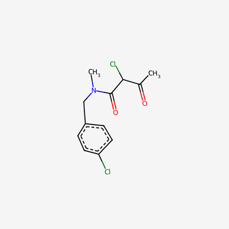 CC(=O)C(Cl)C(=O)N(C)Cc1ccc(Cl)cc1